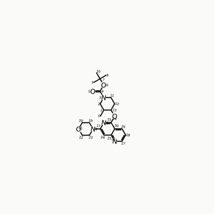 CC1CN(C(=O)OC(C)(C)C)CCC1Oc1nc(N2CCOCC2)cc2ncccc12